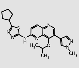 CC(C)Oc1c(-c2cnn(C)c2)cnc2ccc(Nc3nnc(C4CCCC4)s3)nc12